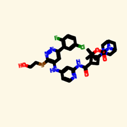 CC(C)(C)OC(=O)N1C2CC1CN(C1CC(C(=O)Nc3cc(Nc4cc(-c5cc(Cl)ccc5F)nnc4SCCO)ccn3)C1)C2